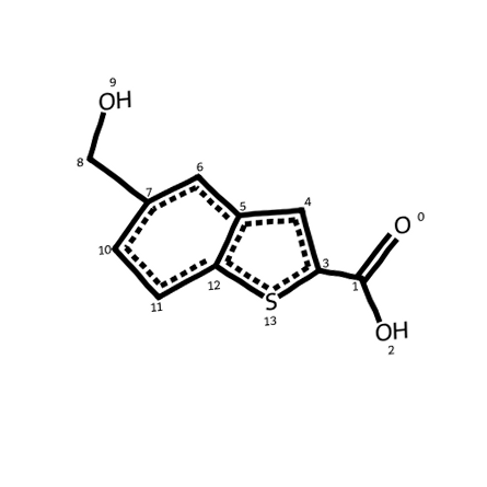 O=C(O)c1cc2cc(CO)ccc2s1